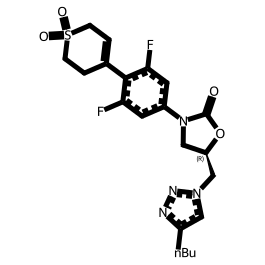 CCCCc1cn(C[C@H]2CN(c3cc(F)c(C4=CCS(=O)(=O)CC4)c(F)c3)C(=O)O2)nn1